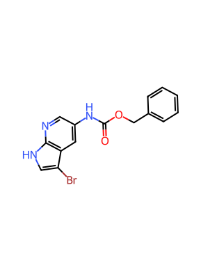 O=C(Nc1cnc2[nH]cc(Br)c2c1)OCc1ccccc1